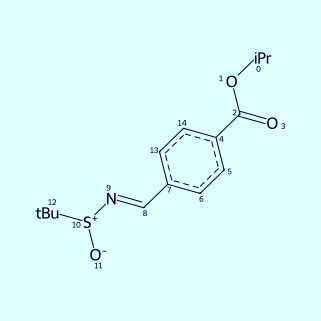 CC(C)OC(=O)c1ccc(C=N[S+]([O-])C(C)(C)C)cc1